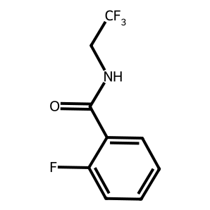 O=C(NCC(F)(F)F)c1ccccc1F